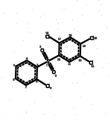 O=S(=O)(c1ccccc1Cl)c1cc(Cl)c(Cl)cc1Cl